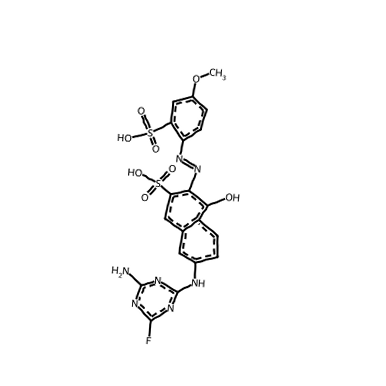 COc1ccc(/N=N/c2c(S(=O)(=O)O)cc3cc(Nc4nc(N)nc(F)n4)ccc3c2O)c(S(=O)(=O)O)c1